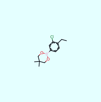 CCc1ccc(B2OCC(C)(C)CO2)cc1Cl